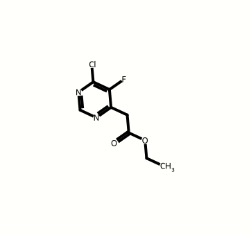 CCOC(=O)Cc1ncnc(Cl)c1F